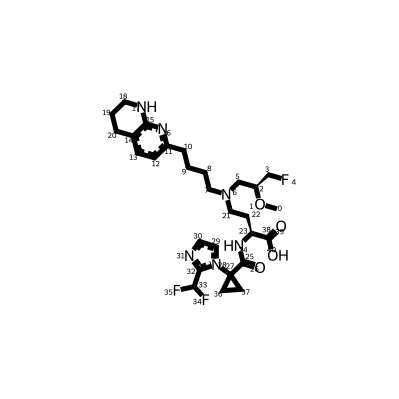 CO[C@H](CF)CN(CCCCc1ccc2c(n1)NCCC2)CC[C@H](NC(=O)C1(n2ccnc2C(F)F)CC1)C(=O)O